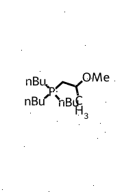 CCCC[P](CCCC)(CCCC)CC(C)OC